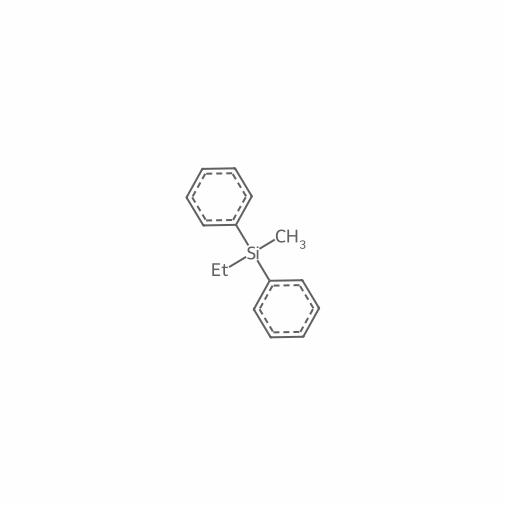 CC[Si](C)(c1ccccc1)c1ccccc1